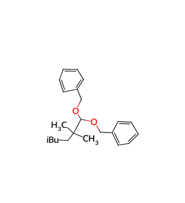 CCC(C)CC(C)(C)C(OCc1ccccc1)OCc1ccccc1